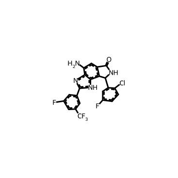 Nc1cc2c(c3[nH]c(-c4cc(F)cc(C(F)(F)F)c4)nc13)C(c1cc(F)ccc1Cl)NC2=O